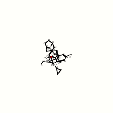 C=C(NC1CC1)c1ccc(N2C3CCC2CC(NC(=O)C2(c4ccc(Cl)cc4)CC2)C3)cc1CCC